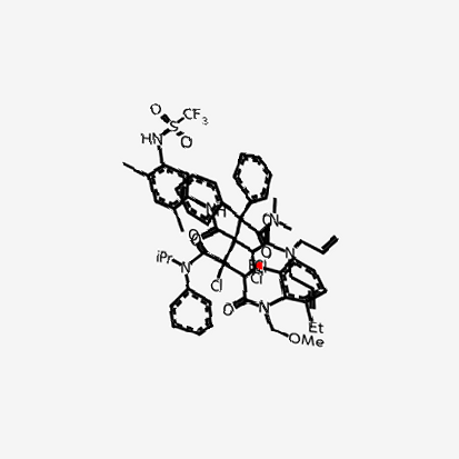 C=CCN(CC=C)C(=O)C(Cl)C(C(=O)Nc1cc(NS(=O)(=O)C(F)(F)F)c(C)cc1C)(C(C(=O)N(C)C)(c1ccccc1)c1ccccc1)C(Cl)(C(=O)N(c1ccccc1)C(C)C)C(Cl)C(=O)N(COC)c1c(CC)cccc1CC